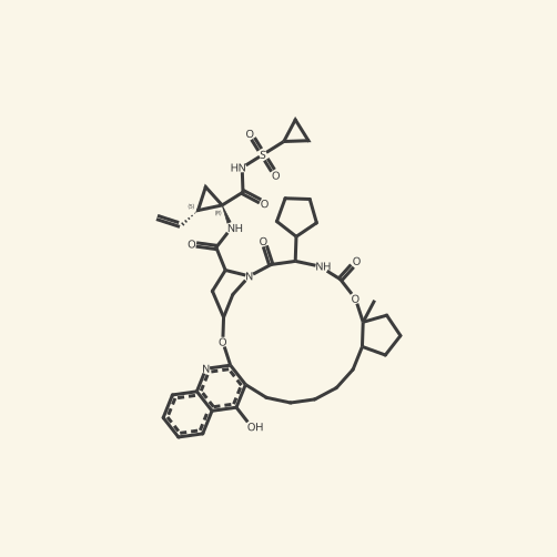 C=C[C@@H]1C[C@]1(NC(=O)C1CC2CN1C(=O)C(C1CCCC1)NC(=O)OC1(C)CCCC1CCCCCc1c(nc3ccccc3c1O)O2)C(=O)NS(=O)(=O)C1CC1